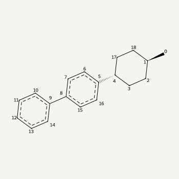 C[C@H]1CC[C@H](c2ccc(-c3ccccc3)cc2)CC1